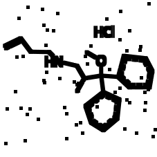 C=CCCNCC(C)C(OC)(c1ccccc1)c1ccccc1.Cl